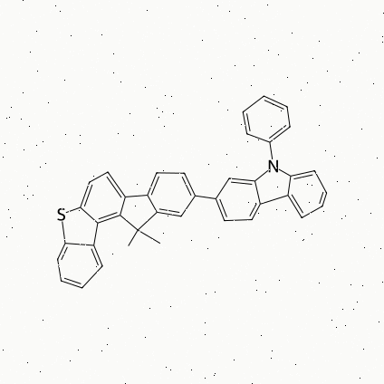 CC1(C)c2cc(-c3ccc4c5ccccc5n(-c5ccccc5)c4c3)ccc2-c2ccc3sc4ccccc4c3c21